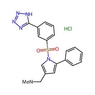 CNCc1cc(-c2ccccc2)n(S(=O)(=O)c2cccc(-c3nnn[nH]3)c2)c1.Cl